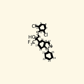 OC(CSc1c(Cl)cccc1Cl)(c1ccc2c(cnn2-c2ccccc2)c1)C(F)(F)F